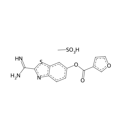 CS(=O)(=O)O.N=C(N)c1nc2ccc(OC(=O)c3ccoc3)cc2s1